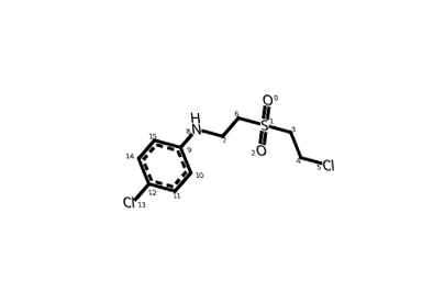 O=S(=O)(CCCl)CCNc1ccc(Cl)cc1